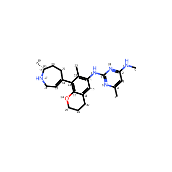 CNc1cc(C)nc(Nc2cc3c(c(C4=CCN[C@H](C)CC4)c2C)OCCC3)n1